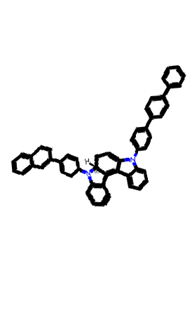 c1ccc2c(c#1)C1=c3c(n(-c4ccc(-c5ccc(-c6ccccc6)cc5)cc4)c4ccccc34)=CC[C@H]1N2C1C=CC(C2=Cc3ccccc3CC2)=CC1